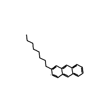 CCCCCCCCc1[c]cc2cc3ccccc3cc2c1